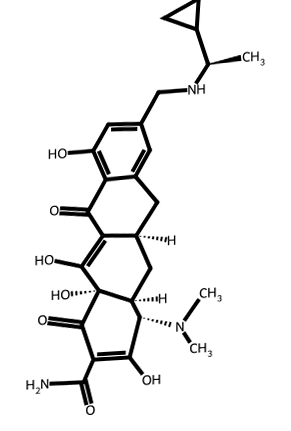 C[C@@H](NCc1cc(O)c2c(c1)C[C@H]1C[C@H]3[C@H](N(C)C)C(O)=C(C(N)=O)C(=O)[C@@]3(O)C(O)=C1C2=O)C1CC1